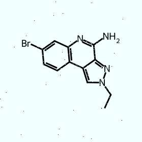 [CH2]Cn1cc2c(n1)c(N)nc1cc(Br)ccc12